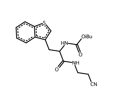 CC(C)COC(=O)NC(Cc1csc2ccccc12)C(=O)NCCC#N